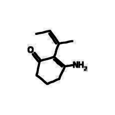 C/C=C(/C)C1=C(N)CCCC1=O